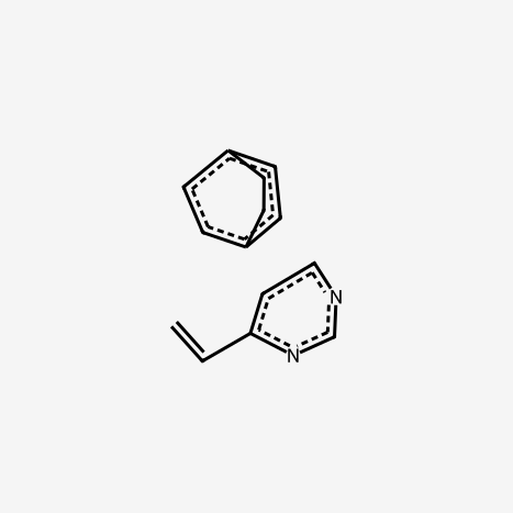 C=Cc1ccncn1.c1cc2ccc1CC2